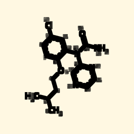 CC(C)CCOc1ccc(Cl)cc1N(C(N)=O)c1cnccn1